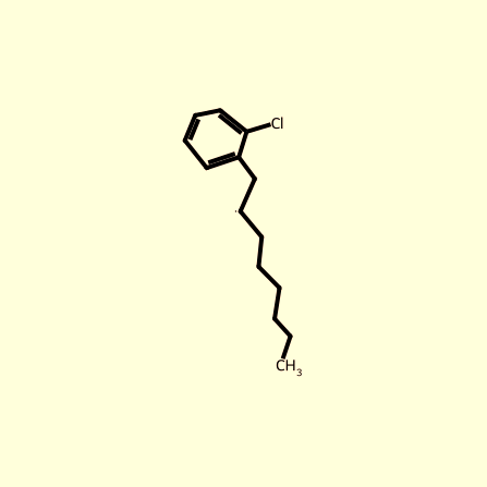 CCCCCC[CH]Cc1ccccc1Cl